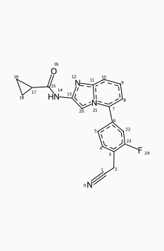 N#CCc1ccc(-c2cccc3nc(NC(=O)C4CC4)cn23)cc1F